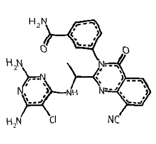 CC(Nc1nc(N)nc(N)c1Cl)c1nc2c(C#N)cccc2c(=O)n1-c1cccc(C(N)=O)c1